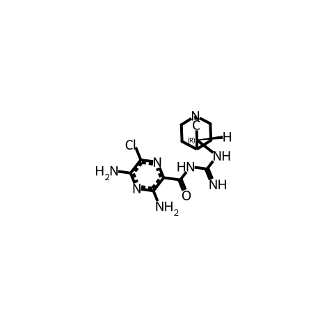 N=C(NC(=O)c1nc(Cl)c(N)nc1N)N[C@H]1CN2CCC1CC2